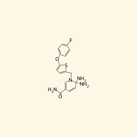 NC(=O)C1=CN(Cc2ccc(Oc3ccc(F)cc3)s2)C(N)(N)C=C1